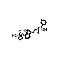 O=C(O)C1(Oc2cccc3c(CCNC[C@@H](O)c4cccnc4)c[nH]c23)CCC1